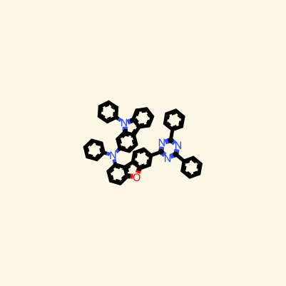 c1ccc(-c2nc(-c3ccccc3)nc(-c3ccc4c(c3)oc3cccc(N(c5ccccc5)c5ccc6c7ccccc7n(-c7ccccc7)c6c5)c34)n2)cc1